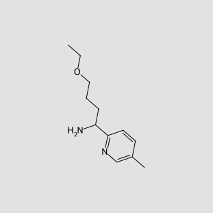 CCOCCCC(N)c1ccc(C)cn1